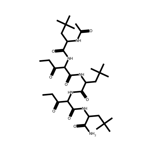 CCC(=O)C(NC(=O)C(CC(C)(C)C)NC(=O)C(NC(=O)C(CC(C)(C)C)NC(C)=O)C(=O)CC)C(=O)NC(CC(C)(C)C)C(N)=O